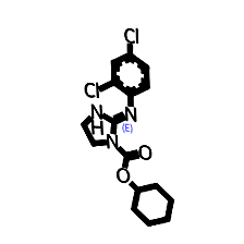 O=C(OC1CCCCC1)N1CCN/C1=N\c1ccc(Cl)cc1Cl